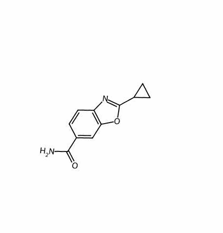 NC(=O)c1ccc2nc(C3CC3)oc2c1